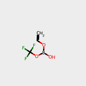 C=COB(O)OC(F)(F)F